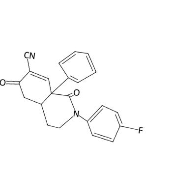 N#CC1=CC2(c3ccccc3)C(=O)N(c3ccc(F)cc3)CCC2CC1=O